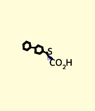 O=C(O)/C=C/C(=S)c1ccc(-c2ccccc2)cc1